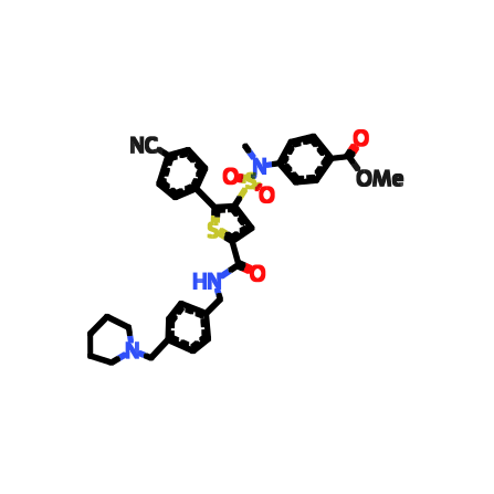 COC(=O)c1ccc(N(C)S(=O)(=O)c2cc(C(=O)NCc3ccc(CN4CCCCC4)cc3)sc2-c2ccc(C#N)cc2)cc1